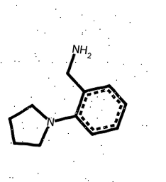 NCc1ccccc1N1C[CH]CC1